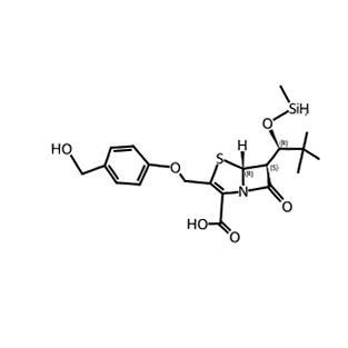 C[SiH](C)O[C@H]([C@H]1C(=O)N2C(C(=O)O)=C(COc3ccc(CO)cc3)S[C@H]12)C(C)(C)C